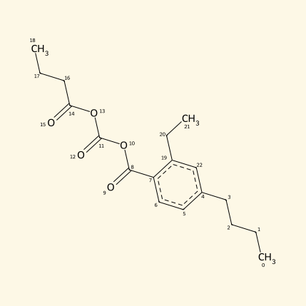 CCCCc1ccc(C(=O)OC(=O)OC(=O)CCC)c(CC)c1